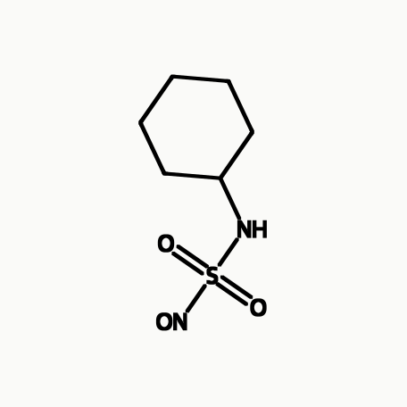 O=NS(=O)(=O)NC1CCCCC1